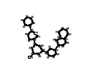 Clc1nc(-c2ccc(-c3ccccc3)cc2)nc(-c2cccc(-c3ccc4ccccc4n3)c2)n1